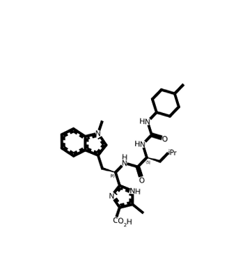 Cc1[nH]c([C@@H](Cc2cn(C)c3ccccc23)NC(=O)[C@H](CC(C)C)NC(=O)NC2CCC(C)CC2)nc1C(=O)O